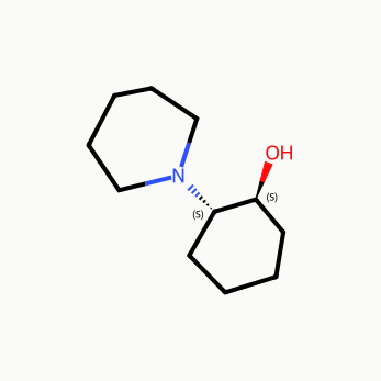 O[C@H]1CCCC[C@@H]1N1CCCCC1